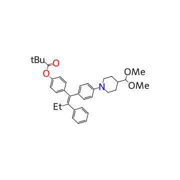 CC/C(=C(\c1ccc(OC(=O)C(C)(C)C)cc1)c1ccc(N2CCC(C(OC)OC)CC2)cc1)c1ccccc1